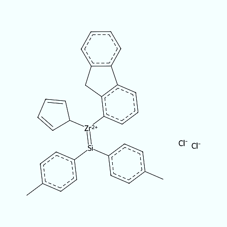 Cc1ccc([Si](c2ccc(C)cc2)=[Zr+2]([c]2cccc3c2Cc2ccccc2-3)[CH]2C=CC=C2)cc1.[Cl-].[Cl-]